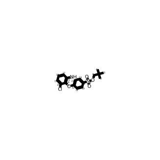 CC(C)(C)COS(=O)(=O)c1ccc(Oc2c(N)cccc2Cl)cc1